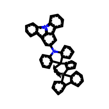 c1ccc2c(c1)-c1ccccc1[Si]21c2ccccc2C2(c3ccccc3N(c3cc4c5ccccc5n5c6ccccc6c(c3)c45)c3ccccc32)c2ccccc21